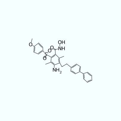 COc1ccc(S(=O)(=O)c2c(C)c(N)c(CCc3ccc(-c4ccccc4)cc3)c(C)c2C(=O)NO)cc1